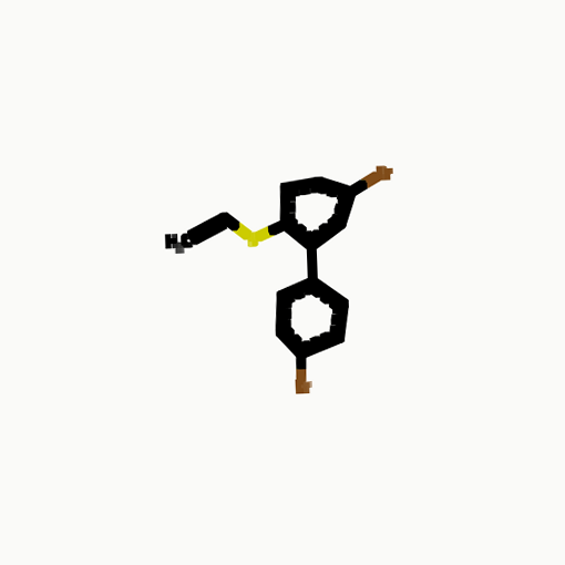 C=CSc1ccc(Br)cc1-c1ccc(Br)cc1